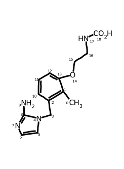 Cc1c(Cn2ccnc2N)cccc1OCCNC(=O)O